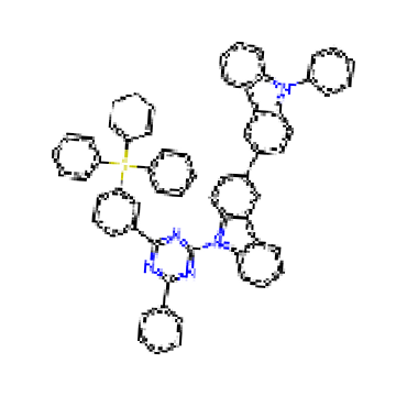 C1=CC(S(c2ccccc2)(c2ccccc2)c2cccc(-c3nc(-c4ccccc4)nc(-n4c5ccccc5c5cc(-c6ccc7c(c6)c6ccccc6n7-c6ccccc6)ccc54)n3)c2)=CCC1